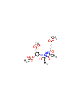 COC(=O)CCCCC(=O)N[C@@H](C)C(=O)N[C@@H](C)C(=O)Nc1cc(COS(C)(=O)=O)cc(COS(C)(=O)=O)c1